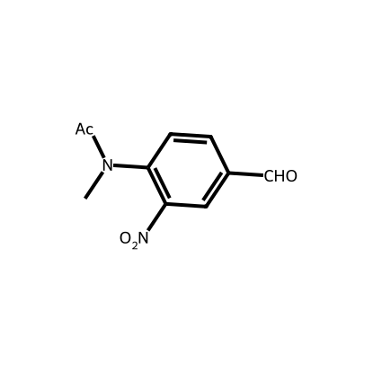 CC(=O)N(C)c1ccc(C=O)cc1[N+](=O)[O-]